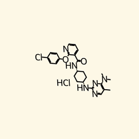 Cc1cnc(N[C@H]2CC[C@@H](NC(=O)c3cccnc3Oc3ccc(Cl)cc3)CC2)nc1N(C)C.Cl